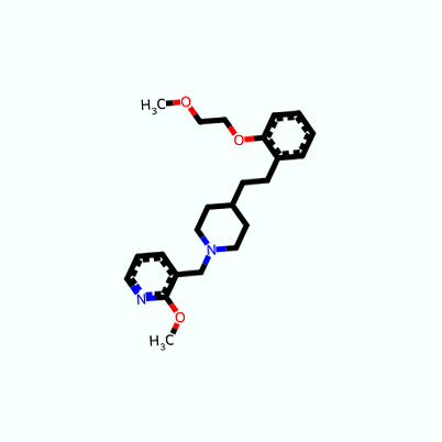 COCCOc1ccccc1CCC1CCN(Cc2cccnc2OC)CC1